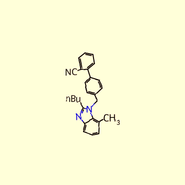 CCCCc1nc2cccc(C)c2n1Cc1ccc(-c2ccccc2C#N)cc1